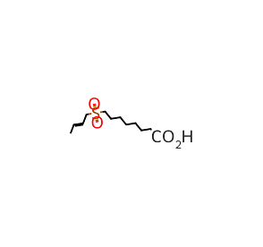 C/C=C/CS(=O)(=O)CCCCCCCC(=O)O